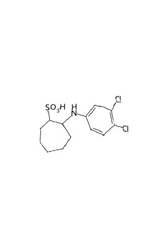 O=S(=O)(O)C1CCCCCC1Nc1ccc(Cl)c(Cl)c1